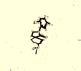 CS(=O)OC1CCC2(CC1)CCN(c1cc(F)c(F)cc1Cl)C2=O